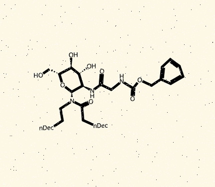 CCCCCCCCCCCCN(C(=O)CCCCCCCCCCC)[C@@H]1O[C@H](CO)[C@@H](O)[C@H](O)[C@H]1NC(=O)CNC(=O)OCc1ccccc1